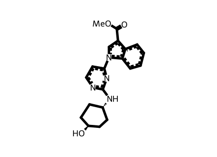 COC(=O)c1cn(-c2ccnc(N[C@H]3CC[C@H](O)CC3)n2)c2ccccc12